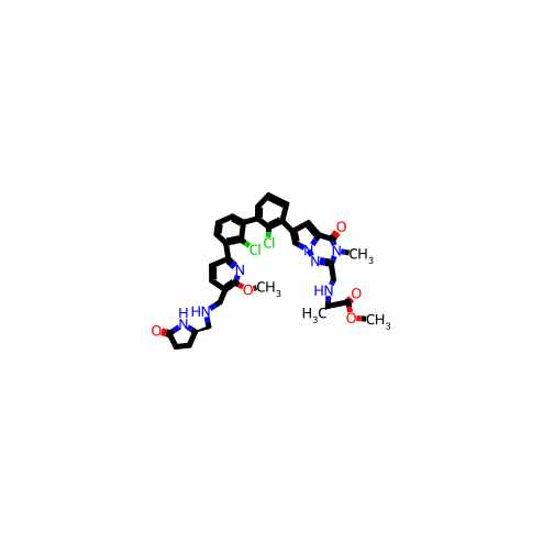 COC(=O)[C@@H](C)NCc1nn2cc(-c3cccc(-c4cccc(-c5ccc(CNC[C@H]6CCC(=O)N6)c(OC)n5)c4Cl)c3Cl)cc2c(=O)n1C